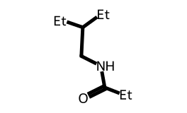 [CH2]CC(=O)NCC(CC)CC